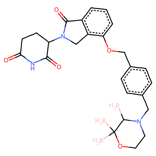 BC1N(Cc2ccc(COc3cccc4c3CN(C3CCC(=O)NC3=O)C4=O)cc2)CCOC1(B)B